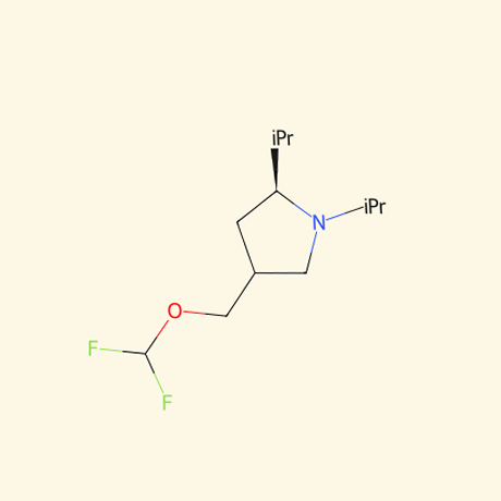 CC(C)[C@@H]1CC(COC(F)F)CN1C(C)C